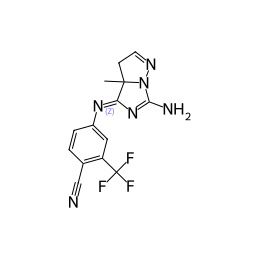 CC12CC=NN1C(N)=N/C2=N\c1ccc(C#N)c(C(F)(F)F)c1